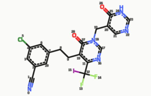 N#Cc1cc(Cl)cc(CCc2c(C(F)(F)I)ncn(Cc3cnc[nH]c3=O)c2=O)c1